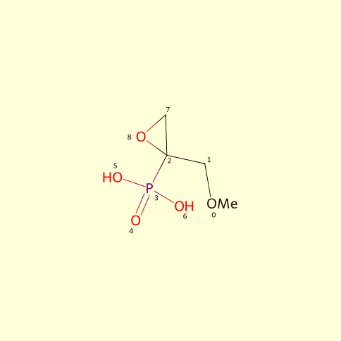 COCC1(P(=O)(O)O)CO1